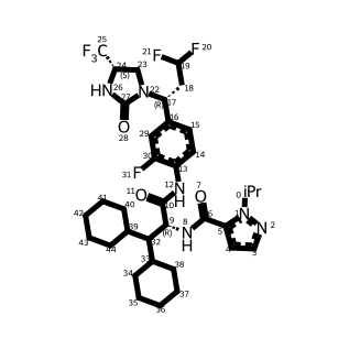 CC(C)n1nccc1C(=O)N[C@@H](C(=O)Nc1ccc([C@@H](CC(F)F)N2C[C@@H](C(F)(F)F)NC2=O)cc1F)C(C1CCCCC1)C1CCCCC1